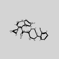 Cc1ccccc1C1CCC(C(=O)c2c(C3CC3)ccn3cncc23)CC1